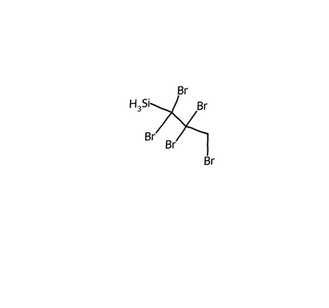 [SiH3]C(Br)(Br)C(Br)(Br)CBr